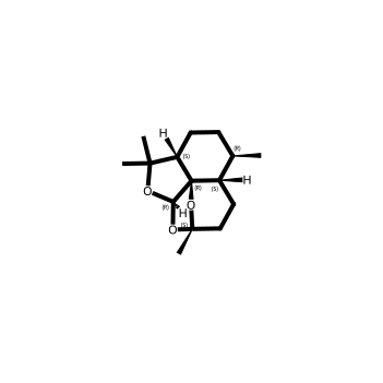 C[C@@H]1CC[C@H]2C(C)(C)O[C@@H]3O[C@@]4(C)CC[C@@H]1[C@]32O4